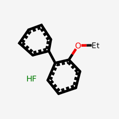 CCOc1ccccc1-c1ccccc1.F